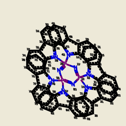 c1ccc2c(c1)c1ccccc1n2P1(n2c3ccccc3c3ccccc32)=NP(n2c3ccccc3c3ccccc32)(n2c3ccccc3c3ccccc32)=NP(n2c3ccccc3c3ccccc32)(n2c3ccccc3c3ccccc32)=N1